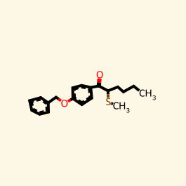 CCCCC(SC)C(=O)c1ccc(OCc2ccccc2)cc1